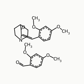 COc1ccc(/C=C2\C(=O)C3CCN2CC3)c(OC)c1.COc1ccc(C=O)c(OC)c1